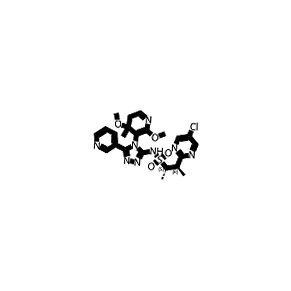 COC1=C(n2c(NS(=O)(=O)[C@@H](C)[C@H](C)c3ncc(Cl)cn3)nnc2-c2cccnc2)C(C)(OC)CC=N1